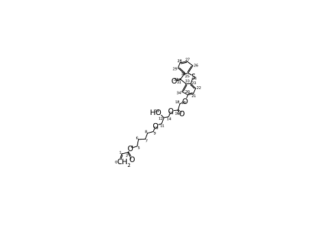 C=CC(=O)OCCCCCOCC(O)COC(=O)COc1ccc2sc3ccccc3c(=O)c2c1